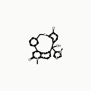 Cn1cncc1C1(O)c2ccc(Cl)c(c2)CCc2cccc(c2)-c2cc(=O)n(C)c3ccc1cc23